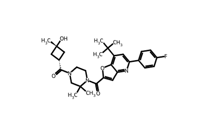 CC(C)(C)c1cc(-c2ccc(F)cc2)nc2cc(C(=O)N3CCN(C(=O)[C@H]4C[C@@](C)(O)C4)CC3(C)C)oc12